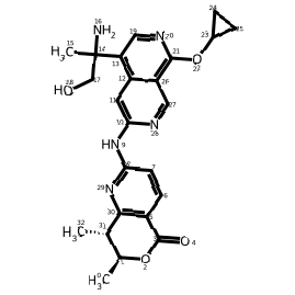 C[C@@H]1OC(=O)c2ccc(Nc3cc4c(C(C)(N)CO)cnc(OC5CC5)c4cn3)nc2[C@H]1C